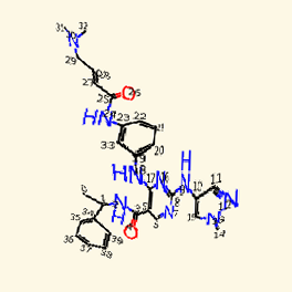 CC(NC(=O)c1cnc(Nc2cnn(C)c2)nc1Nc1cccc(NC(=O)/C=C/CN(C)C)c1)c1ccccc1